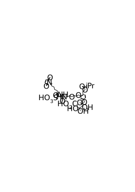 CC(C)C(=O)OCc1ccc(O[C@@H]2O[C@H](C(=O)O)[C@@H](O)[C@H](O)[C@H]2O)cc1OCCOCCNC(=O)[C@H](CS(=O)(=O)O)NC(=O)CCCCCN1C(=O)C=CC1=O